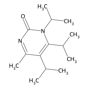 Cc1nc(=O)n(C(C)C)c(C(C)C)c1C(C)C